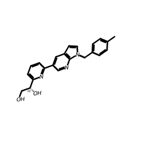 Cc1ccc(Cn2ccc3cc(-c4cccc([C@H](O)CO)n4)cnc32)cc1